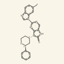 O=c1[nH]c2cnc(-n3cnc4ccc(F)cc43)nc2n1[C@H]1CCO[C@H](c2ccccc2)C1